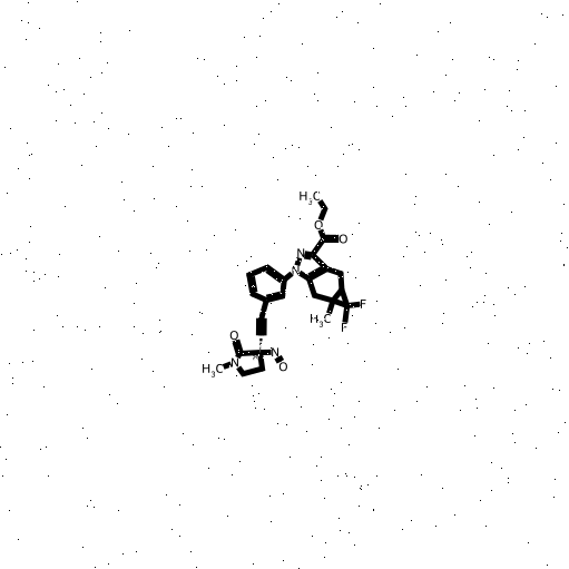 CCOC(=O)c1nn(-c2cccc(C#C[C@]3(N=O)CCN(C)C3=O)c2)c2c1CC1C(F)(F)C1(C)C2